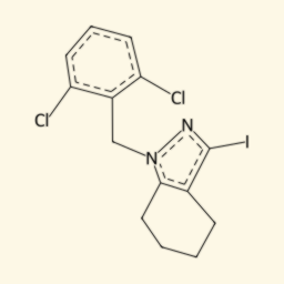 Clc1cccc(Cl)c1Cn1nc(I)c2c1CCCC2